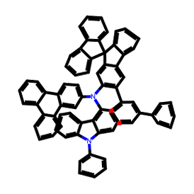 c1ccc(-c2cccc(-c3cc4c(cc3N(c3ccc5c6ccccc6c6ccccc6c5c3)c3cccc5c3c3ccccc3n5-c3ccccc3)C3(c5ccccc5-c5ccccc53)c3ccccc3-4)c2)cc1